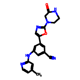 Cc1ccnc(Nc2cc(C#N)cc(-c3cnc(N4CCNC(=O)C4)o3)c2)c1